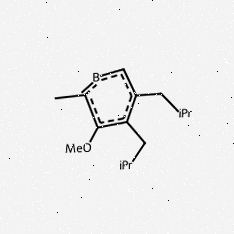 COc1c(C)bcc(CC(C)C)c1CC(C)C